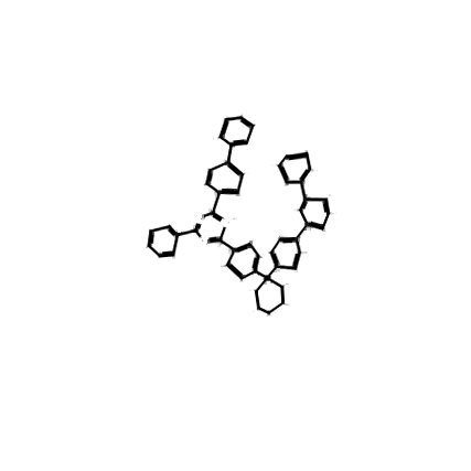 c1ccc(-c2ccc(-c3nc(-c4ccccc4)nc(-c4ccc(C5(c6ccc(-c7cccc(-c8ccccc8)c7)cc6)CCCCC5)cc4)n3)cc2)cc1